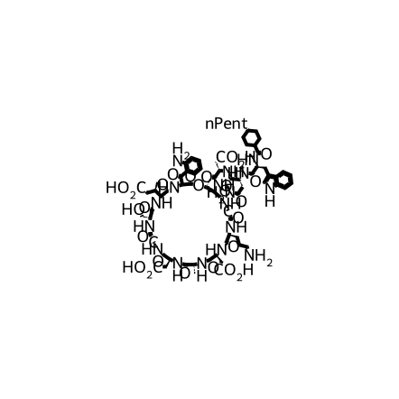 CCCCCC1CCC(C(=O)N[C@@H](Cc2c[nH]c3ccccc23)C(=O)N[C@H](CC(N)=O)C(=O)N[C@@H](CC(=O)O)C(=O)N[C@@H]2C(=O)NCC(=O)N[C@@H](CCCN)C(=O)N[C@@H](CC(=O)O)C(=O)N[C@H](C)C(=O)N[C@@H](CC(=O)O)C(=O)NCC(=O)N[C@H](CO)C(=O)N[C@@H]([C@H](C)CC(=O)O)C(=O)NC(C(=O)c3ccccc3N)C(=O)O[C@@H]2C)CC1